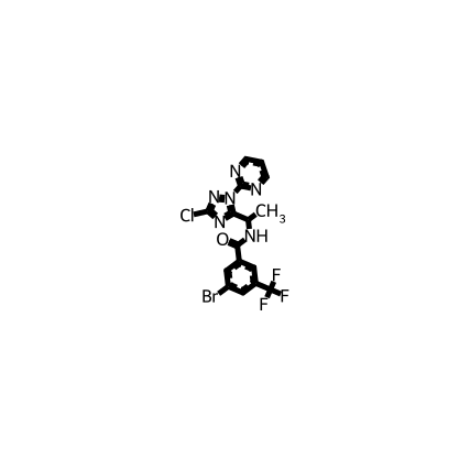 CC(NC(=O)c1cc(Br)cc(C(F)(F)F)c1)c1nc(Cl)nn1-c1ncccn1